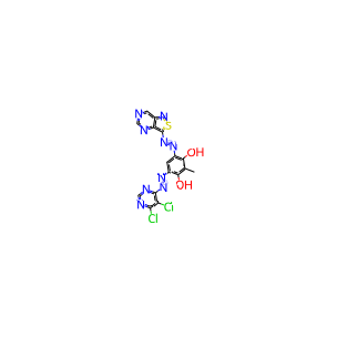 Cc1c(O)c(/N=N/c2ncnc(Cl)c2Cl)cc(/N=N/c2snc3cncnc23)c1O